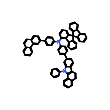 c1ccc(-n2c3cc(-c4ccc(N(c5ccc(-c6ccc7ccc8ccccc8c7c6)cc5)c5cccc6c5-c5ccccc5C65c6ccccc6-c6ccccc65)cc4)ccc3c3ccc4ccccc4c32)cc1